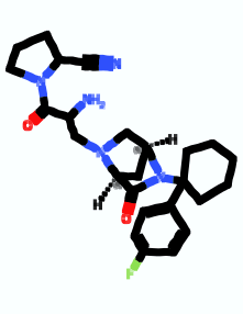 N#CC1CCCN1C(=O)C(N)CN1C[C@@H]2C[C@H]1C(=O)N2C1(c2ccc(F)cc2)CCCCC1